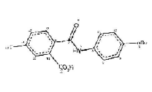 CCCCc1ccc(NC(=O)c2ccc(F)cc2C(=O)O)cc1